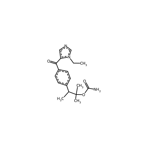 CCn1cncc1C(=O)c1ccc(C(C)C(C)(C)OC(N)=O)cc1